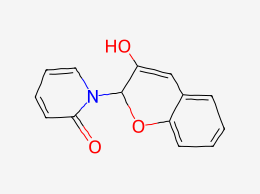 O=c1ccccn1C1Oc2ccccc2C=C1O